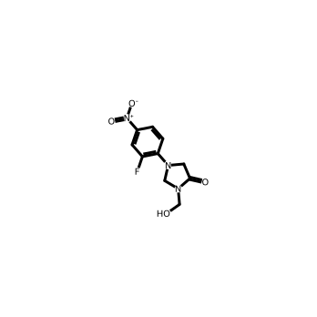 O=C1CN(c2ccc([N+](=O)[O-])cc2F)CN1CO